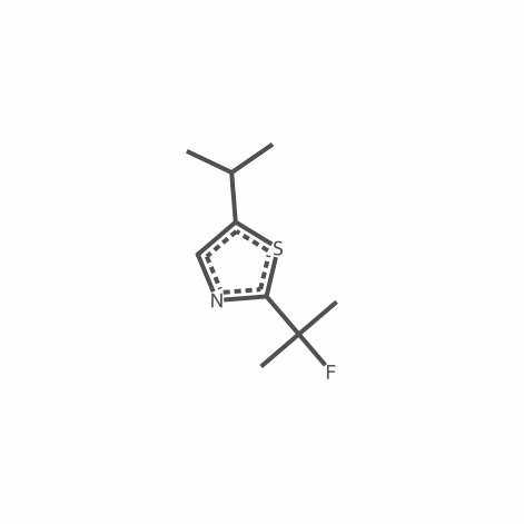 CC(C)c1cnc(C(C)(C)F)s1